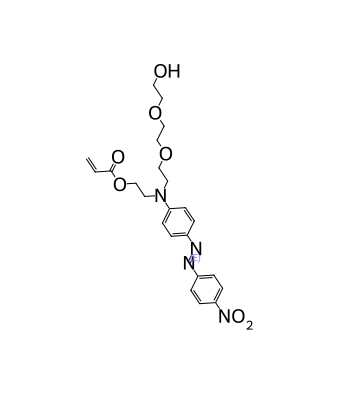 C=CC(=O)OCCN(CCOCCOCCO)c1ccc(/N=N/c2ccc([N+](=O)[O-])cc2)cc1